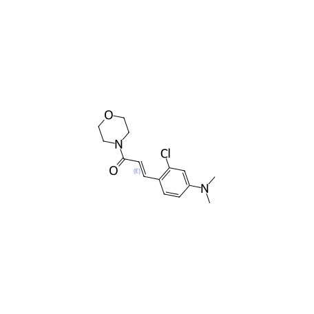 CN(C)c1ccc(/C=C/C(=O)N2CCOCC2)c(Cl)c1